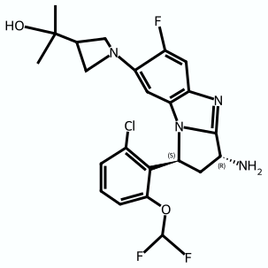 CC(C)(O)C1CN(c2cc3c(cc2F)nc2n3[C@H](c3c(Cl)cccc3OC(F)F)C[C@H]2N)C1